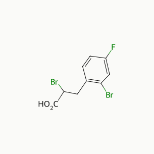 O=C(O)C(Br)Cc1ccc(F)cc1Br